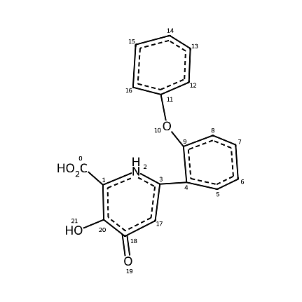 O=C(O)c1[nH]c(-c2ccccc2Oc2ccccc2)cc(=O)c1O